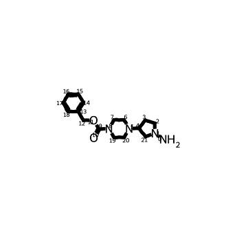 NN1CCC(N2CCN(C(=O)OCc3ccccc3)CC2)C1